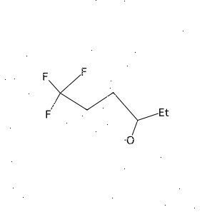 CCC([O])CCC(F)(F)F